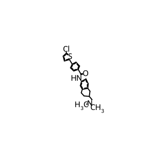 CN(C)CC1CCc2cc(NC(=O)c3ccc(-c4ccc(Cl)s4)cc3)ccc2C1